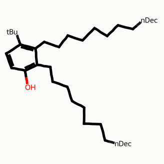 CCCCCCCCCCCCCCCCCCc1c(O)ccc(C(C)(C)C)c1CCCCCCCCCCCCCCCCCC